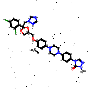 CC[C@H](C)n1ncn(-c2ccc(N3CCN(c4ccc(OC[C@H]5CO[C@](Cn6cncn6)(c6ccc(F)cc6F)O5)cc4)CC3)cc2)c1=O.CS(=O)(=O)O